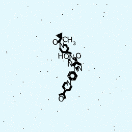 CC1(C(=O)N2CCC(O)(Cn3cnc4c(cnn4-c4ccc(N5CCC(C6COC6)CC5)cc4)c3=O)CC2)CC1